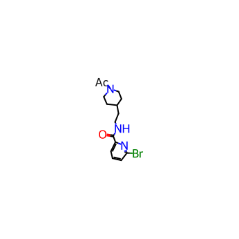 CC(=O)N1CCC(CCNC(=O)c2cccc(Br)n2)CC1